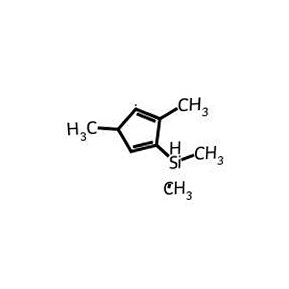 CC1=[C]C(C)C=C1[SiH](C)C